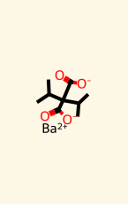 CC(C)C(C(=O)[O-])(C(=O)[O-])C(C)C.[Ba+2]